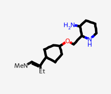 CC/C(=C\NC)C1CCC(OCC2NCCCC2N)CC1